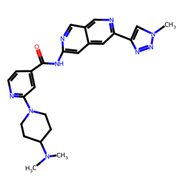 CN(C)C1CCN(c2cc(C(=O)Nc3cc4cc(-c5cn(C)nn5)ncc4cn3)ccn2)CC1